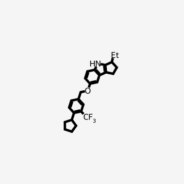 CCC1CCc2c1[nH]c1ccc(OCc3ccc(C4CCCC4)c(C(F)(F)F)c3)cc21